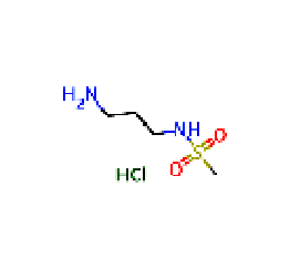 CS(=O)(=O)NCCCN.Cl